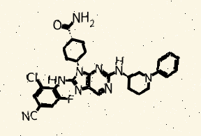 N#Cc1cc(F)c(Nc2nc3cnc(N[C@@H]4CCCN(c5ccccc5)C4)nc3n2[C@H]2CC[C@@H](C(N)=O)CC2)c(Cl)c1